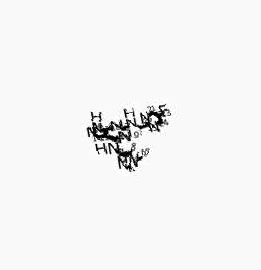 C[C@H](Nc1nc(Nc2cn(C)cn2)c2cn[nH]c2n1)c1ncc(F)cn1